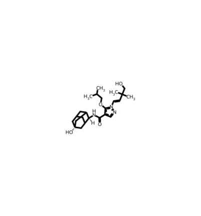 CC(C)COc1c(C(=O)N[C@H]2C3CC4CC2C[C@](O)(C4)C3)cnn1/C=C/C(C)(C)CO